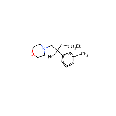 CCOC(=O)CC(C#N)(CN1CCOCC1)c1cccc(C(F)(F)F)c1